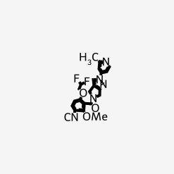 COc1c(C#N)ccc(OCC(F)F)c1C(=O)N1Cc2cn(-c3ccnc(C)c3)nc2C1